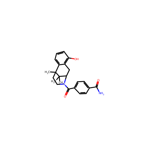 CC12CCN(C(=O)c3ccc(C(N)=O)cc3)C(Cc3c(O)cccc31)C2(C)C